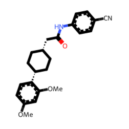 COc1ccc([C@H]2CC[C@@H](CC(=O)Nc3ccc(C#N)cc3)CC2)c(OC)c1